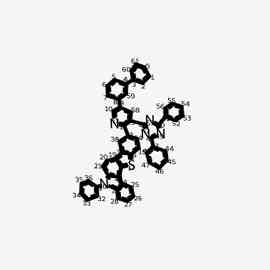 c1ccc(-c2cccc(-c3cnc(-c4ccc5sc6c(ccc7c6c6ccccc6n7-c6ccccc6)c5c4)c(-c4nc(-c5ccccc5)nc(-c5ccccc5)n4)c3)c2)cc1